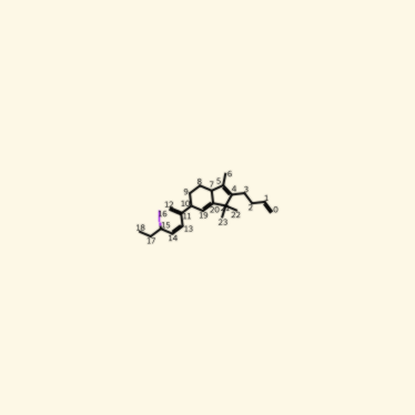 C=CCCC1=C(C)C2CCC(C(=C)/C=C\C(I)CC)C=C2C1(C)C